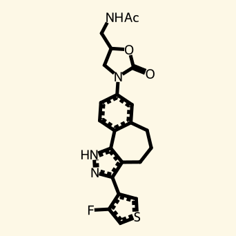 CC(=O)NCC1CN(c2ccc3c(c2)CCCc2c(-c4cscc4F)n[nH]c2-3)C(=O)O1